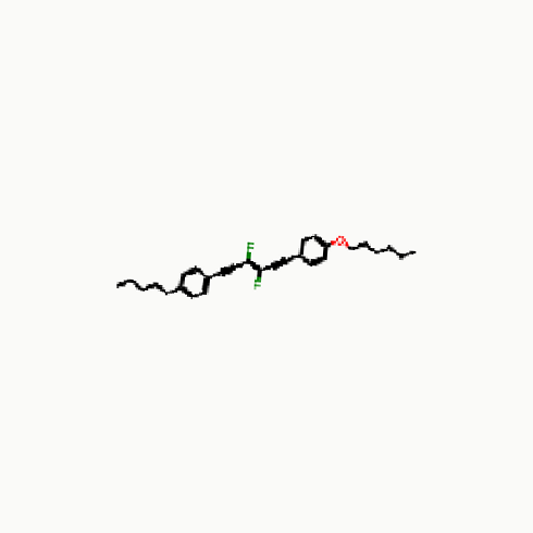 CCCCCCOc1ccc(C#C/C(F)=C(\F)C#Cc2ccc(CCCCC)cc2)cc1